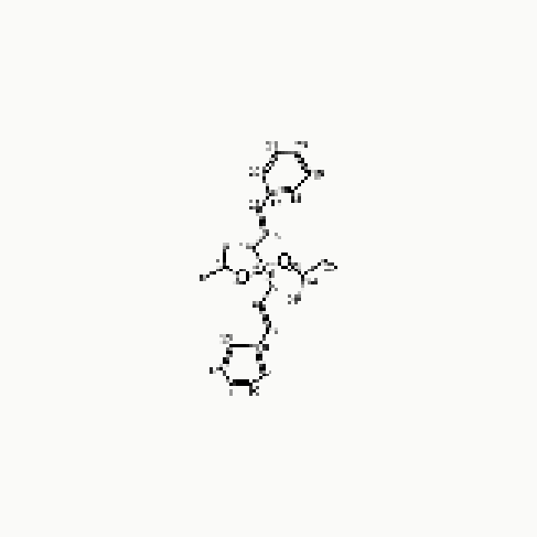 CC(C)O[Si](CC=Cc1ccccc1)(CC=Cc1ccccc1)OC(C)C